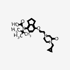 CC(C)(C)N(C(=O)O)c1ccc(OCCN2CCN(CC3CC3)C(=O)C2)c2c1CCC2